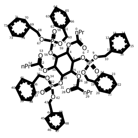 CCCC(=O)OC1C(OP(=O)(OCc2ccccc2)OCc2ccccc2)C(OC(=O)CCC)C(OP(=O)(OCc2ccccc2)OCc2ccccc2)C(OC(=O)CCC)C1OP(=O)(OCc1ccccc1)OCc1ccccc1